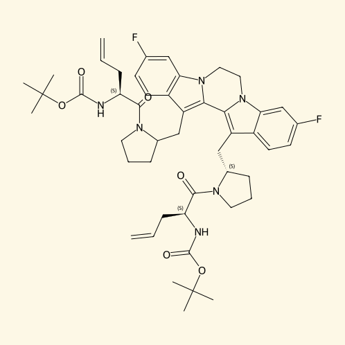 C=CC[C@H](NC(=O)OC(C)(C)C)C(=O)N1CCCC1Cc1c2n(c3cc(F)ccc13)CCn1c-2c(C[C@@H]2CCCN2C(=O)[C@H](CC=C)NC(=O)OC(C)(C)C)c2ccc(F)cc21